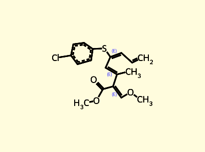 C=C\C=C(/C=C(C)/C(=C\OC)C(=O)OC)Sc1ccc(Cl)cc1